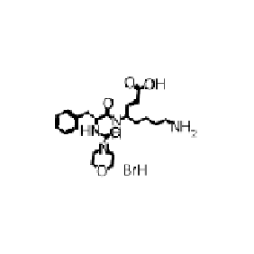 Br.NCCCCC(C=CC(=O)O)NC(=O)[C@H](Cc1ccccc1)NC(=O)N1CCOCC1